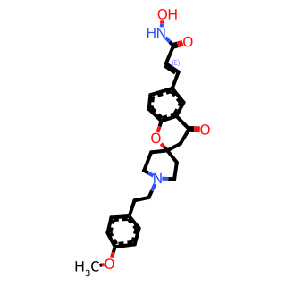 COc1ccc(CCN2CCC3(CC2)CC(=O)c2cc(/C=C/C(=O)NO)ccc2O3)cc1